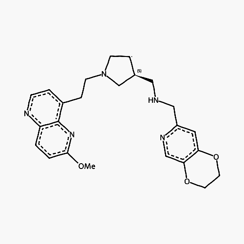 COc1ccc2nccc(CCN3C[CH][C@@H](CNCc4cc5c(cn4)OCCO5)C3)c2n1